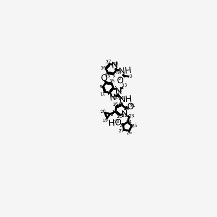 CC(=O)Nc1cc(Oc2ccc3nc(Nc4cc(C5CC5)cn(CC5CCCC5O)c4=O)n(C)c3c2)ccn1